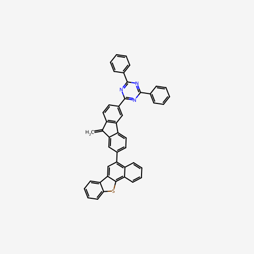 C=C1c2cc(-c3cc4c5ccccc5sc4c4ccccc34)ccc2-c2cc(-c3nc(-c4ccccc4)nc(-c4ccccc4)n3)ccc21